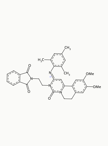 COc1cc2c(cc1OC)-c1c/c(=N\c3c(C)cc(C)cc3C)n(CCN3C(=O)c4ccccc4C3=O)c(=O)n1CC2